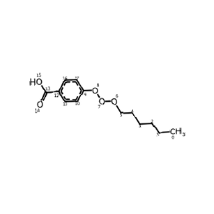 CCCCCCOOOc1ccc(C(=O)O)cc1